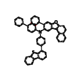 c1ccc(-c2ccc(N(c3ccc(-c4cccc5c4sc4ccccc45)cc3)c3cc4c(cc3-c3ccccc3)oc3ccc5ccccc5c34)cc2)cc1